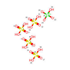 O=S(=O)(O)O.O=S(=O)(O)O.O=S(=O)(O)O.O=S(=O)(O)O.[O-][Cl+3]([O-])([O-])O